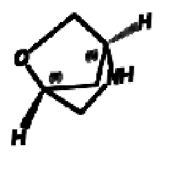 C1O[C@H]2CN[C@H]1C2